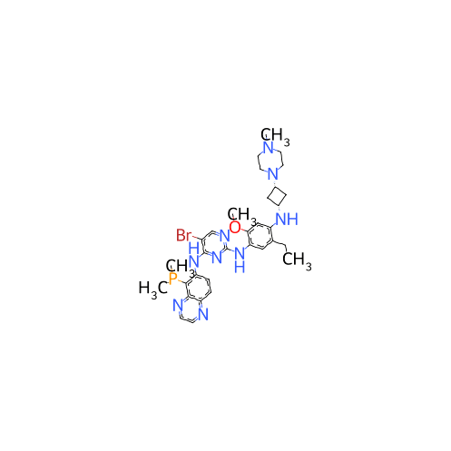 CCc1cc(Nc2ncc(Br)c(Nc3ccc4nccnc4c3P(C)C)n2)c(OC)cc1N[C@H]1C[C@@H](N2CCN(C)CC2)C1